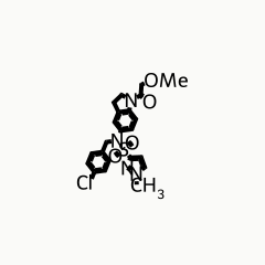 COCC(=O)N1CCc2cc(N(Cc3ccc(Cl)cc3)S(=O)(=O)c3ccn(C)n3)ccc21